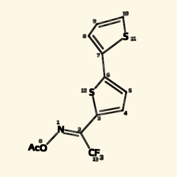 CC(=O)O/N=C(/c1ccc(-c2cccs2)s1)C(F)(F)F